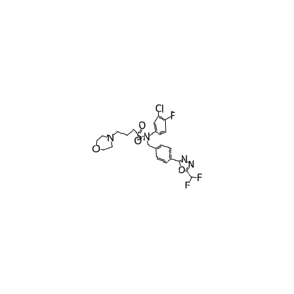 O=S(=O)(CCCN1CCOCC1)N(Cc1ccc(-c2nnc(C(F)F)o2)cc1)c1ccc(F)c(Cl)c1